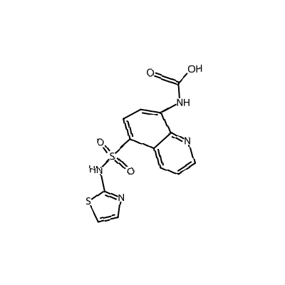 O=C(O)Nc1ccc(S(=O)(=O)Nc2nccs2)c2cccnc12